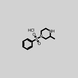 CC1CN(S(=O)(=O)c2ccccc2)CCN1.Cl